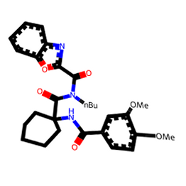 CCCCN(C(=O)c1nc2ccccc2o1)C(=O)C1(NC(=O)c2ccc(OC)c(OC)c2)CCCCC1